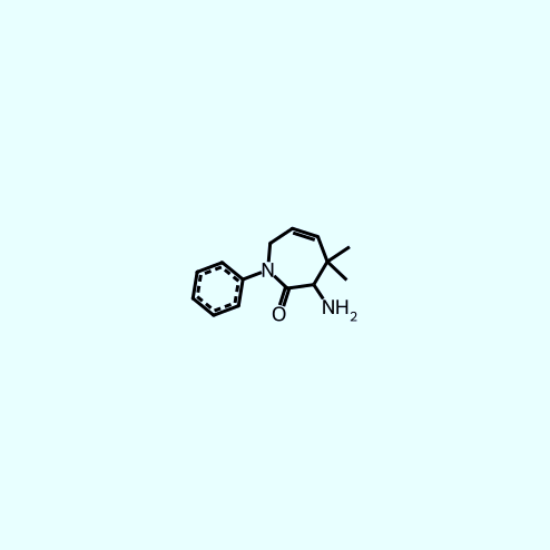 CC1(C)C=CCN(c2ccccc2)C(=O)C1N